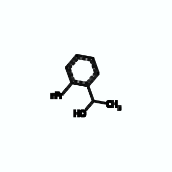 [CH2]CCc1ccccc1C(C)O